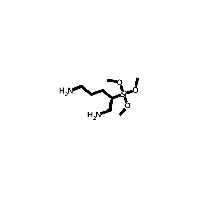 CO[Si](OC)(OC)C(CN)CCCN